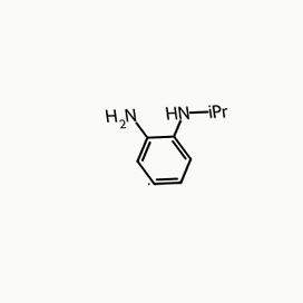 CC(C)Nc1cc[c]cc1N